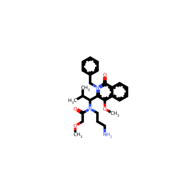 COCC(=O)N(CCCN)C(c1c(OC)c2ccccc2c(=O)n1Cc1ccccc1)C(C)C